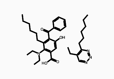 CCCCCCc1c(C(=O)c2ccccc2)c(O)cc(C(=O)O)c1N(CC)CC.CCCCCCc1nnncc1CC